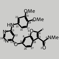 CNC(=O)c1c(C)oc2cc(Oc3cc(Nc4ccc(OC)c(OC)c4)ncn3)ccc12